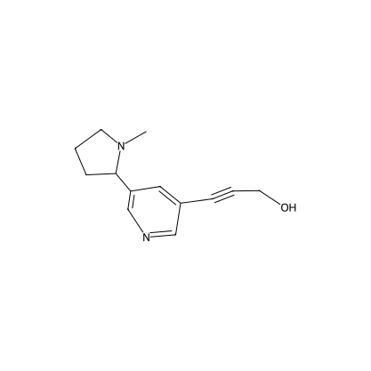 CN1CCCC1c1cncc(C#CCO)c1